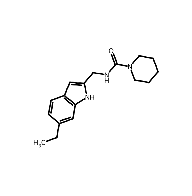 CCc1ccc2cc(CNC(=O)N3CCCCC3)[nH]c2c1